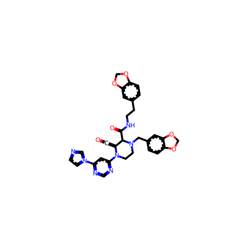 O=C=C1C(C(=O)NCCc2ccc3c(c2)OCO3)N(Cc2ccc3c(c2)OCO3)CCN1c1cc(-n2ccnc2)ncn1